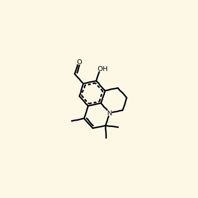 CC1=CC(C)(C)N2CCCc3c(O)c(C=O)cc1c32